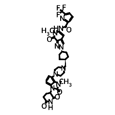 Cn1c(NC(=O)c2cccc(C(F)(F)F)n2)cc2cn([C@H]3CC[C@H](CN4CCN(c5cccc6c5n(C)c(=O)n6C5CCC(=O)NC5=O)CC4)CC3)nc2c1=O